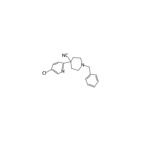 N#CC1(c2ccc(Cl)cn2)CCN(Cc2ccccc2)CC1